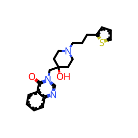 O=c1c2ccccc2ncn1CC1(O)CCN(CCCc2cccs2)CC1